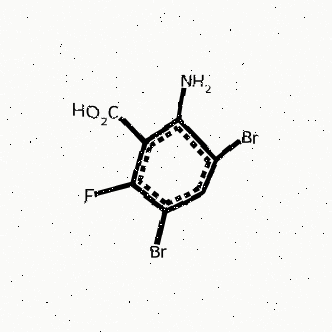 Nc1c(Br)cc(Br)c(F)c1C(=O)O